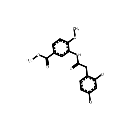 COC(=O)c1ccc(OC)c(NC(=O)Cc2ccc(Cl)cc2Cl)c1